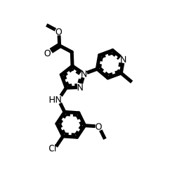 COC(=O)Cc1cc(Nc2cc(Cl)cc(OC)c2)nn1-c1ccnc(C)c1